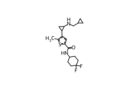 Cc1sc(C(=O)NC2CCC(F)(F)CC2)cc1C1CC1NCC1CC1